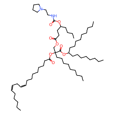 CCCCC/C=C\C/C=C\CCCCCCCC(=O)OC(CCCCCCCCC)(COC(=O)CCC(CCCC)OC(=O)NCCN1CCCC1)C(=O)OC(CCCCCCCC)CCCCCCCCC